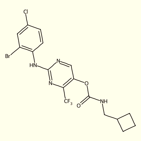 O=C(NCC1CCC1)Oc1cnc(Nc2ccc(Cl)cc2Br)nc1C(F)(F)F